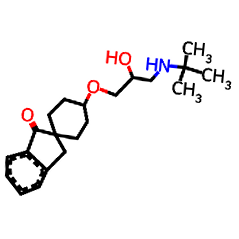 CC(C)(C)NCC(O)COC1CCC2(CC1)Cc1ccccc1C2=O